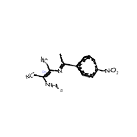 CC(=N/C(C#N)=C(\N)C#N)c1ccc([N+](=O)[O-])cc1